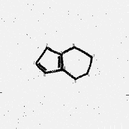 [C]1=CCC2=C1CCCC2